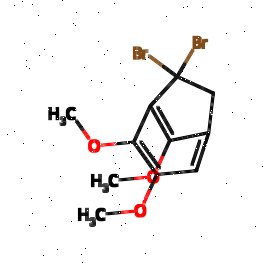 COc1cc2c(OC)c(c1OC)C(Br)(Br)C2